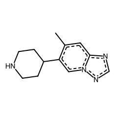 Cc1cc2ncnn2cc1C1CCNCC1